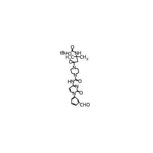 CC(C)(CC(=O)N1CCN(C(=O)Nc2ccn(-c3cccc(C=O)c3)c(=O)n2)CC1)NC(=O)OC(C)(C)C